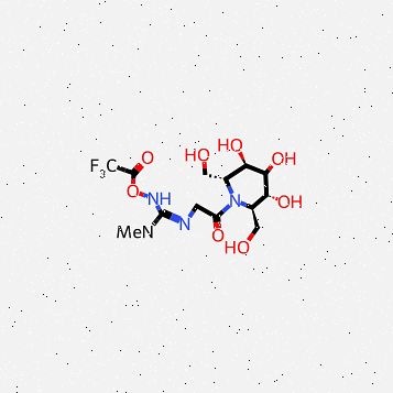 CNC(=NCC(=O)N1[C@H](CO)[C@@H](O)C(O)[C@H](O)[C@H]1CO)NOC(=O)C(F)(F)F